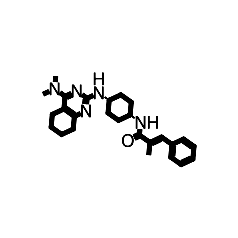 CC(=Cc1ccccc1)C(=O)N[C@H]1CC[C@@H](Nc2nc3c(c(N(C)C)n2)CCCC3)CC1